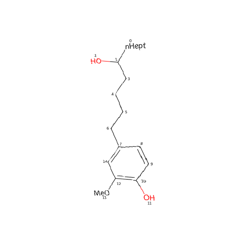 CCCCCCCC(O)CCCCc1ccc(O)c(OC)c1